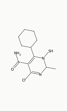 CC1N=C(Cl)C(C(N)=O)=C(C2CCCCC2)N1S